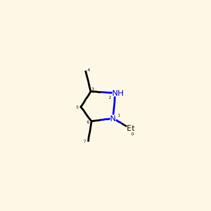 CCN1NC(C)CC1C